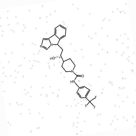 O=C(Nc1ccc(C(F)(F)F)cc1)N1CCC([C@H](O)CC2c3ccccc3-c3cncn32)CC1